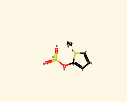 O=[SH](=O)Oc1cccs1.[Ag]